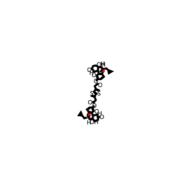 O=C(Cc1csc2c(CC(=O)Oc3ccc4c5c3O[C@H]3C(=O)CC[C@@]6(O)[C@@H](C4)N(CC4CC4)CC[C@]536)csc12)Oc1ccc2c3c1O[C@H]1C(=O)CC[C@@]4(O)[C@@H](C2)N(CC2CC2)CC[C@]314